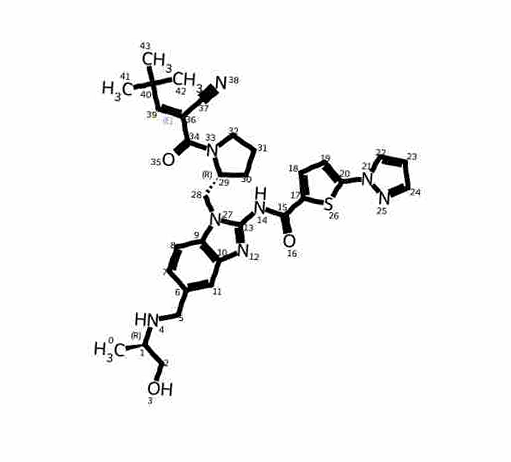 C[C@H](CO)NCc1ccc2c(c1)nc(NC(=O)c1ccc(-n3cccn3)s1)n2C[C@H]1CCCN1C(=O)/C(C#N)=C/C(C)(C)C